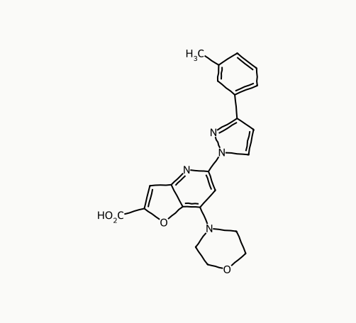 Cc1cccc(-c2ccn(-c3cc(N4CCOCC4)c4oc(C(=O)O)cc4n3)n2)c1